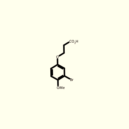 COc1ccc(OCCC(=O)O)cc1Br